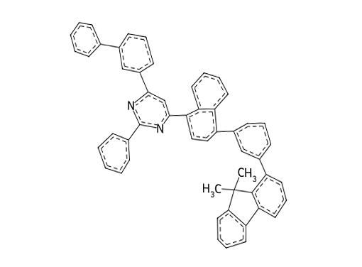 CC1(C)c2ccccc2-c2cccc(-c3cccc(-c4ccc(-c5cc(-c6cccc(-c7ccccc7)c6)nc(-c6ccccc6)n5)c5ccccc45)c3)c21